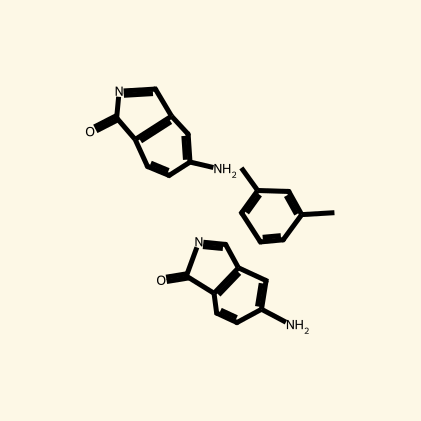 Cc1cccc(C)c1.Nc1ccc2c(c1)C=NC2=O.Nc1ccc2c(c1)C=NC2=O